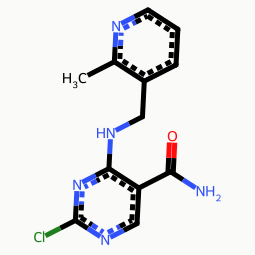 Cc1ncccc1CNc1nc(Cl)ncc1C(N)=O